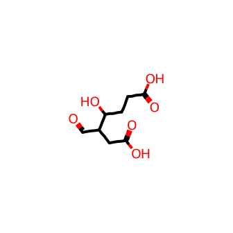 O=CC(CC(=O)O)C(O)CCC(=O)O